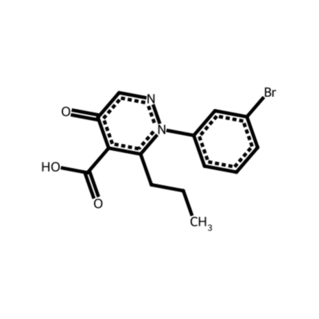 CCCc1c(C(=O)O)c(=O)cnn1-c1cccc(Br)c1